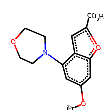 CC(C)Oc1cc(N2CCOCC2)c2cc(C(=O)O)oc2c1